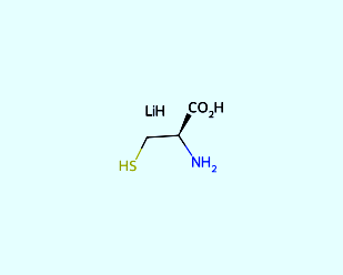 N[C@@H](CS)C(=O)O.[LiH]